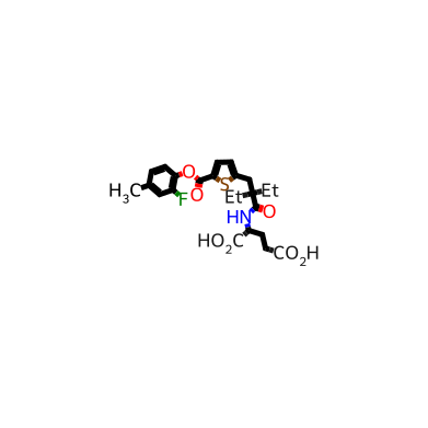 CCC(CC)(Cc1ccc(C(=O)Oc2ccc(C)cc2F)s1)C(=O)NC(CCC(=O)O)C(=O)O